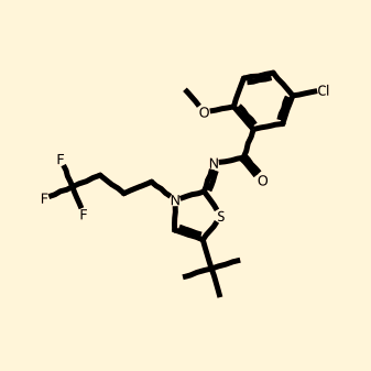 COc1ccc(Cl)cc1C(=O)/N=c1\sc(C(C)(C)C)cn1CCCC(F)(F)F